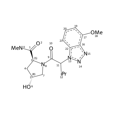 CNC(=O)[C@@H]1C[C@@H](O)CN1C(=O)C(C(C)C)n1nnc2c(OC)cccc21